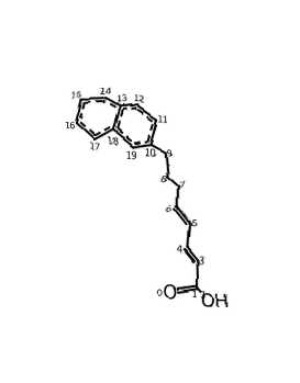 O=C(O)/C=C/C=C/CCCc1ccc2ccccc2c1